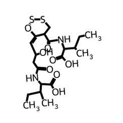 CCC(C)C(NC(=O)CC(O)/C=C1/OSSCC1C(=O)NC(C(=O)O)C(C)CC)C(=O)O